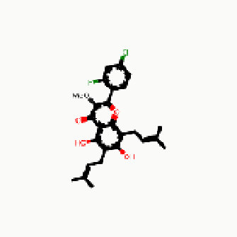 COc1c(-c2ccc(Cl)cc2F)oc2c(CC=C(C)C)c(O)c(CC=C(C)C)c(O)c2c1=O